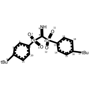 CC(C)(C)c1ccc(S(=O)(=O)C(=N)S(=O)(=O)c2ccc(C(C)(C)C)cc2)cc1